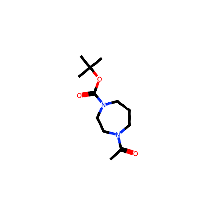 CC(=O)N1CCCN(C(=O)OC(C)(C)C)CC1